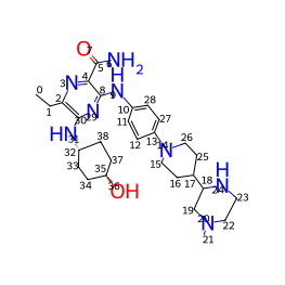 CCc1nc(C(N)=O)c(Nc2ccc(N3CCC(C4CN(C)CCN4)CC3)cc2)nc1N[C@H]1CC[C@H](O)CC1